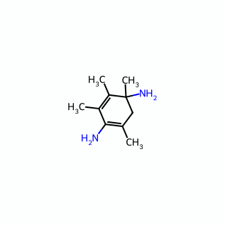 CC1=C(N)C(C)=C(C)C(C)(N)C1